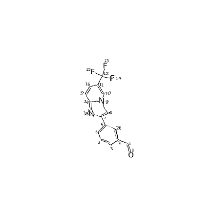 O=Cc1cccc(-c2cn3cc(C(F)(F)F)ccc3n2)c1